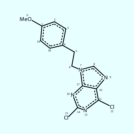 COc1ccc(CCn2cnc3c(Cl)nc(Cl)nc32)cc1